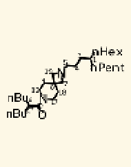 CCCCCCC(CCCCC)CCCN1CC2(CCN(C(=O)C(CCCC)CCCC)CC2)C1